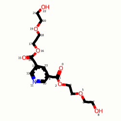 O=C(OCCOCCO)c1cncc(C(=O)OCCOCCO)c1